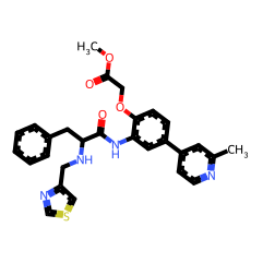 COC(=O)COc1ccc(-c2ccnc(C)c2)cc1NC(=O)C(Cc1ccccc1)NCc1cscn1